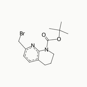 CC(C)(C)OC(=O)N1CCCc2ccc(CBr)nc21